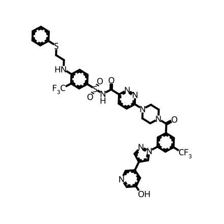 O=C(NS(=O)(=O)c1ccc(NCCSc2ccccc2)c(C(F)(F)F)c1)c1ccc(N2CCN(C(=O)c3cc(-n4cc(-c5cncc(O)c5)cn4)cc(C(F)(F)F)c3)CC2)nn1